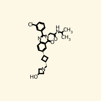 CC(C)NC(=O)Cn1c(-c2cccc(Cl)c2)nc2ccc([C@H]3C[C@@H](CN4CC(O)C4)C3)cc2c1=O